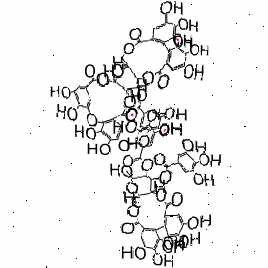 O=C1O[C@@H]2O[C@@H]3COC(=O)c4cc(O)c(O)c(O)c4-c4c(cc(O)c(O)c4O)C(=O)O[C@H]3[C@H](OC(=O)c3cc(O)c(O)c(O)c3)[C@H]2OC(=O)c2cc(Oc3c(C(=O)O[C@@H]4[C@@H](OC(=O)c5cc(O)c(O)c(O)c5)[C@@H]5OC(=O)c6cc(O)c(O)c(O)c6-c6c(cc(O)c(O)c6O)C(=O)OC[C@H]5O[C@H]4O)cc(O)c(O)c3O)c(O)c(O)c2Oc2cc1cc(O)c2O